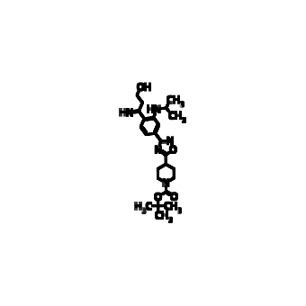 CC(C)Nc1cc(-c2noc(C3CCN(C(=O)OC(C)(C)C)CC3)n2)ccc1C(=N)CCO